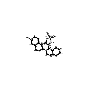 Cc1ccc2c(ccc3c4ccc5ccccc5c4c4c(c23)=NS(=O)(=O)N=4)c1